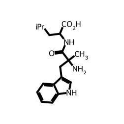 CC(C)CC(NC(=O)C(C)(N)Cc1c[nH]c2ccccc12)C(=O)O